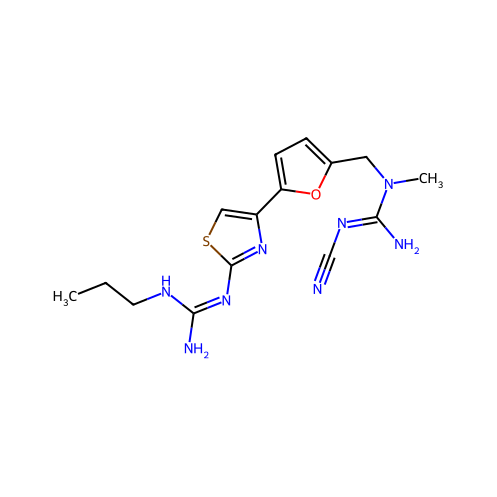 CCCNC(N)=Nc1nc(-c2ccc(CN(C)C(N)=NC#N)o2)cs1